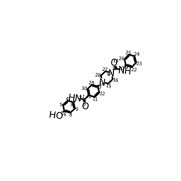 O=C(Nc1ccc(O)cc1)c1ccc(N2CCN(C(=O)Nc3ccccc3)CC2)cc1